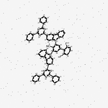 N#Cc1c(-n2c3ccccc3c3cc(-c4nc(-c5ccccc5)nc(-c5ccccc5)n4)ccc32)cc(-c2c(F)cccc2F)cc1-n1c2ccccc2c2cc(-c3nc(-c4ccccc4)nc(-c4ccccc4)n3)ccc21